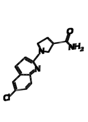 NC(=O)C1CCN(c2ccc3cc(Cl)ccc3n2)C1